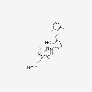 CC1=NN(CCCO)C(=O)C1=NNc1cccc(CCc2c(C)cccc2C)c1O